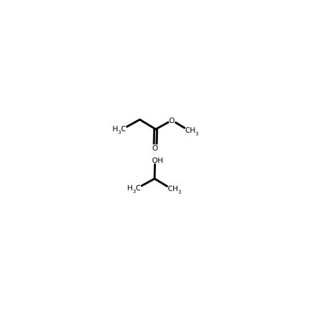 CC(C)O.CCC(=O)OC